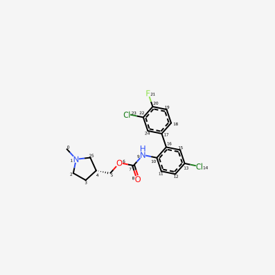 CN1CC[C@@H](COC(=O)Nc2ccc(Cl)cc2-c2ccc(F)c(Cl)c2)C1